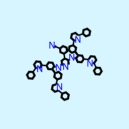 N#Cc1cccc(-c2cc(-n3c4ccc(-c5cccc(-c6ccccc6)n5)cc4c4cc(-c5cccc(-c6ccccc6)n5)ccc43)ncc2-n2c3ccc(-c4cccc(-c5ccccc5)n4)cc3c3cc(-c4cccc(-c5ccccc5)n4)ccc32)c1